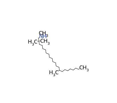 CCCCCCCCC(C)CCCCCCCCCCCCC(C)(C)CNC